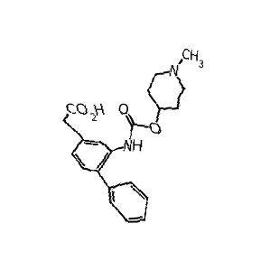 CN1CCC(OC(=O)Nc2cc(CC(=O)O)ccc2-c2ccccc2)CC1